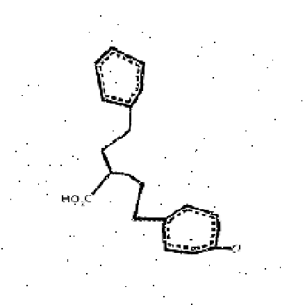 O=C(O)C(CCc1ccccc1)CCc1ccc(Cl)cc1